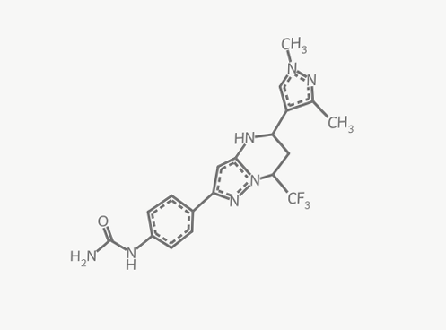 Cc1nn(C)cc1C1CC(C(F)(F)F)n2nc(-c3ccc(NC(N)=O)cc3)cc2N1